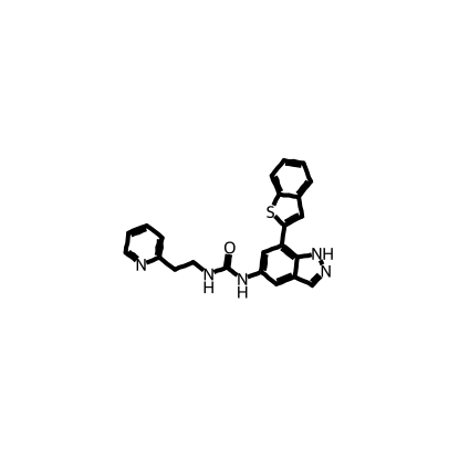 O=C(NCCc1ccccn1)Nc1cc(-c2cc3ccccc3s2)c2[nH]ncc2c1